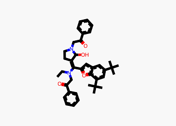 CCN(CC(=O)c1ccccc1)/C(=C1\CCN(CC(=O)c2ccccc2)C1O)c1cc2cc(C(C)(C)C)cc(C(C)(C)C)c2o1